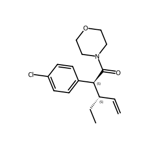 C=C[C@H](CC)[C@H](C(=O)N1CCOCC1)c1ccc(Cl)cc1